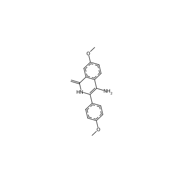 C=C1NC(c2ccc(OC)cc2)=C(N)c2ccc(OC)cc21